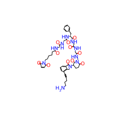 NCCCC#Cc1cccc2c1CN(C1CCC(=O)N(CNC(=O)CNC(=O)CNC(=O)[C@H](Cc3ccccc3)NC(=O)CNC(=O)CNC(=O)CCCCCN3C(=O)C=CC3=O)C1=O)C2=O